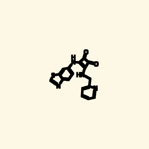 O=c1c(NCc2ccccn2)c(Nc2ccc3ncsc3c2)c1=O